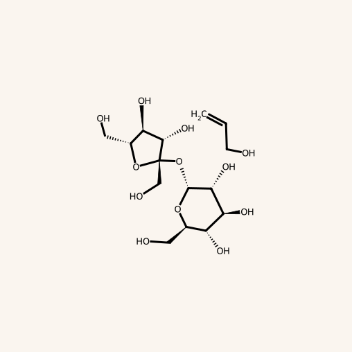 C=CCO.OC[C@H]1O[C@@](CO)(O[C@H]2O[C@H](CO)[C@@H](O)[C@H](O)[C@H]2O)[C@@H](O)[C@@H]1O